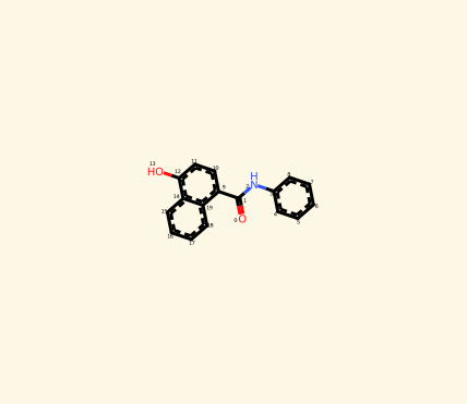 O=C(Nc1ccccc1)c1ccc(O)c2ccccc12